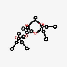 O=C1C(c2ccc(C#Cc3ccccc3)cc2)=C(c2ccc(C#Cc3ccccc3)cc2)C(c2ccc(Oc3ccc(-c4c(-c5ccccc5)c(=O)c5c6ccc(cc6)cc(-c6ccccc6)c6ccc(cc6)c6c(=O)c(-c7ccc(C#Cc8ccccc8)cc7)c(-c7ccc(C#Cc8ccccc8)cc7)c6c6ccc(cc6)oc6ccc(cc6)c45)cc3)cc2)=C1c1ccccc1